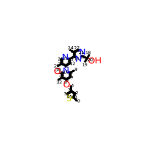 Cc1cc(COc2cc(C)n(-c3cc(-c4nc(C(C)(C)O)ncc4C)ncc3C)c(=O)c2C)cs1